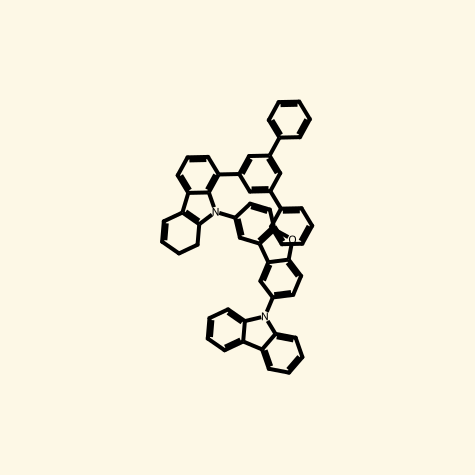 C1=Cc2c(n(-c3ccc4oc5ccc(-n6c7ccccc7c7ccccc76)cc5c4c3)c3c(-c4cc(-c5ccccc5)cc(-c5ccccc5)c4)cccc23)CC1